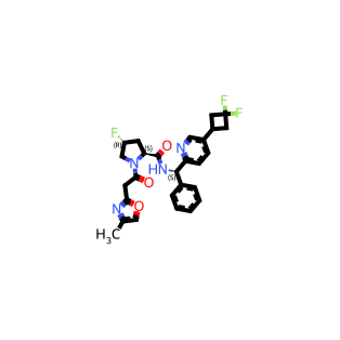 Cc1coc(CC(=O)N2C[C@H](F)C[C@H]2C(=O)N[C@@H](c2ccccc2)c2ccc(C3CC(F)(F)C3)cn2)n1